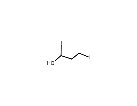 OC(I)[CH]CI